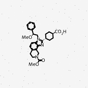 COC(=O)N1CCc2ccc3c(nc([C@H]4CC[C@H](C(=O)O)CC4)n3C[C@@H](OC)c3ccccc3)c2C1